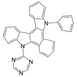 c1ccc(-n2c3ccccc3c3c4c5ccccc5n(-c5ncncn5)c4c4ccccc4c32)cc1